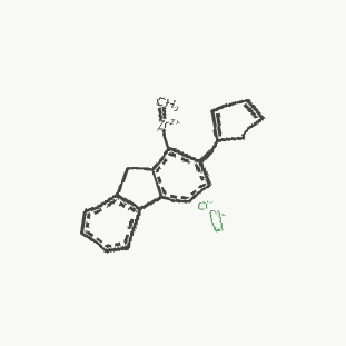 [CH2]=[Zr+2][c]1c(C2=CC=CC2)ccc2c1Cc1ccccc1-2.[Cl-].[Cl-]